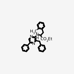 CCOC(=O)C(Cc1ccccc1C)Nc1ncc(-c2ccccc2)nc1Cc1ccccc1